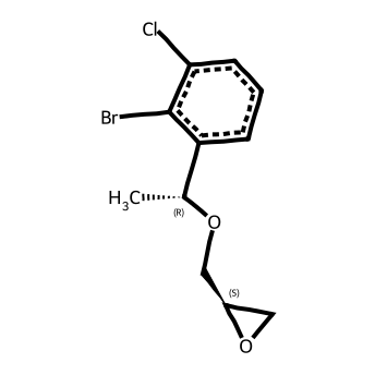 C[C@@H](OC[C@H]1CO1)c1cccc(Cl)c1Br